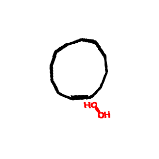 C1=CCCCCCCCCCC1.OO